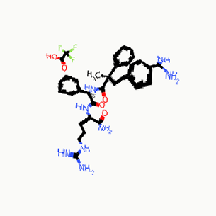 C[C@@](Cc1ccc(C(=N)N)cc1)(C(=O)N[C@H](C(=O)NC(CCCNC(=N)N)C(N)=O)c1ccccc1)c1ccccc1.O=C(O)C(F)(F)F